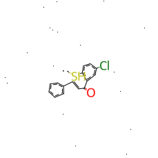 [CH2][SH]1C(c2ccccc2)=CC(=O)c2cc(Cl)ccc21